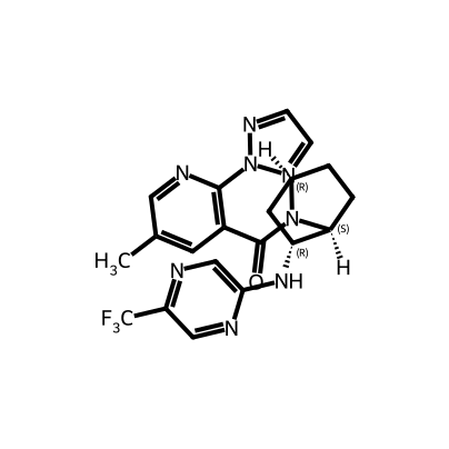 Cc1cnc(-n2nccn2)c(C(=O)N2[C@@H]3CC[C@H]2[C@H](Nc2cnc(C(F)(F)F)cn2)C3)c1